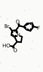 O=C(c1ccc(F)cc1)c1c(Br)cc2n1CCC2C(=O)O